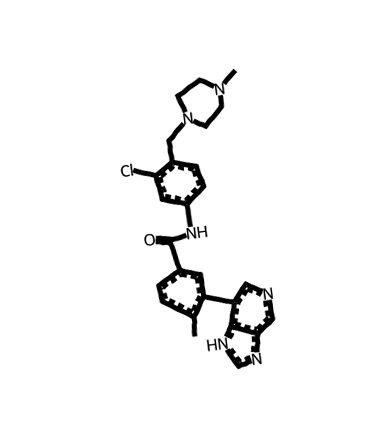 Cc1ccc(C(=O)Nc2ccc(CN3CCN(C)CC3)c(Cl)c2)cc1-c1cncc2nc[nH]c12